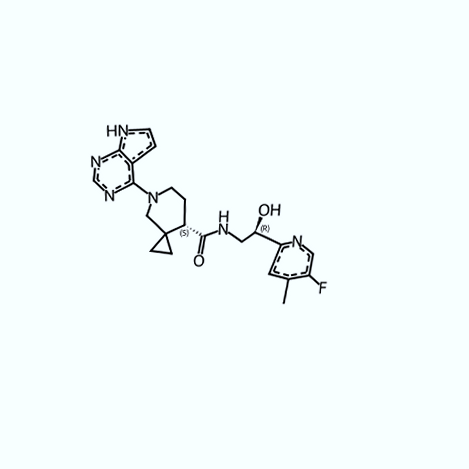 Cc1cc([C@H](O)CNC(=O)[C@H]2CCN(c3ncnc4[nH]ccc34)CC23CC3)ncc1F